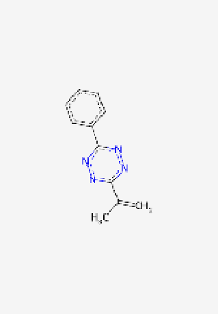 C=C(C)c1nnc(-c2ccccc2)nn1